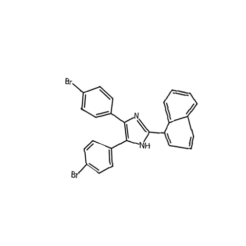 Brc1ccc(-c2nc(-c3cccc4ccccc34)[nH]c2-c2ccc(Br)cc2)cc1